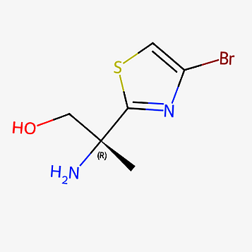 C[C@@](N)(CO)c1nc(Br)cs1